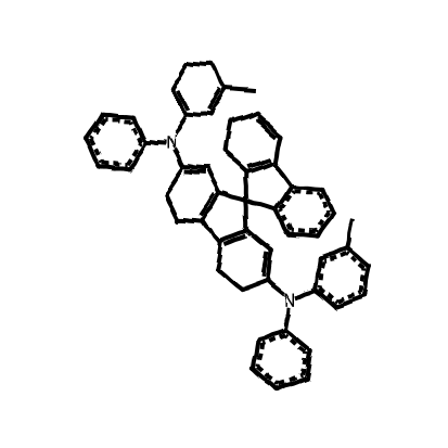 CC1=CC(N(C2=CC3=C(CC2)C2=C(C=C(N(c4ccccc4)c4cccc(C)c4)CC2)C32C3=C(C=CCC3)c3ccccc32)c2ccccc2)=CCC1